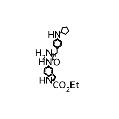 CCOC(=O)c1cc2cc(NC(=O)[C@@H](N)Cc3ccc(NC4CCCC4)cc3)ccc2[nH]1